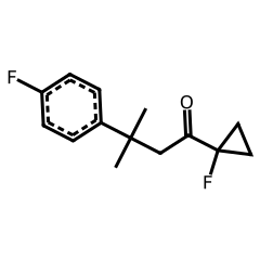 CC(C)(CC(=O)C1(F)CC1)c1ccc(F)cc1